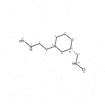 CCCNCCN1CCO[C@H](CNCC)C1